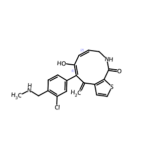 C=C1/C(c2ccc(CNC)c(Cl)c2)=C(O)\C=C/CNC(=O)c2sccc21